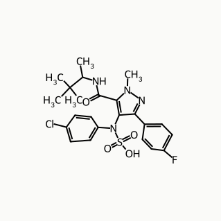 CC(NC(=O)c1c(N(c2ccc(Cl)cc2)S(=O)(=O)O)c(-c2ccc(F)cc2)nn1C)C(C)(C)C